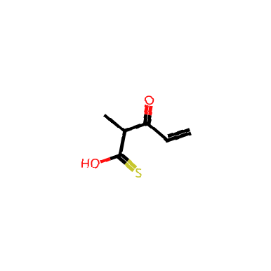 C=CC(=O)C(C)C(O)=S